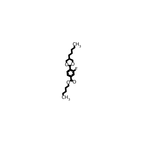 CCCCCOC(=O)c1ccc(C2OCC(CCCCC)CO2)c(F)c1